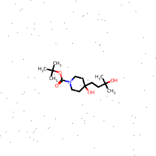 CC(C)(O)CCC1(O)CCN(C(=O)OC(C)(C)C)CC1